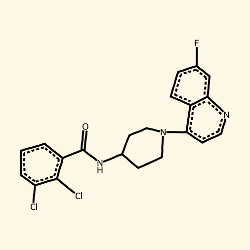 O=C(NC1CCN(c2ccnc3cc(F)ccc23)CC1)c1cccc(Cl)c1Cl